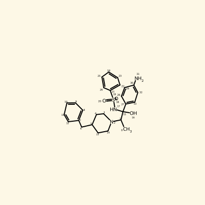 CC(N1CCC(Cc2ccccc2)CC1)C(O)(NS(=O)(=O)c1ccccc1)c1ccc(N)cc1